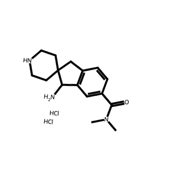 CN(C)C(=O)c1ccc2c(c1)C(N)C1(CCNCC1)C2.Cl.Cl